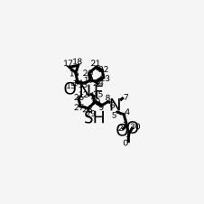 CC1OC(CCN(C)C/C=C2\CN(C(C(=O)C3CC3)c3ccccc3F)CCC2S)O1